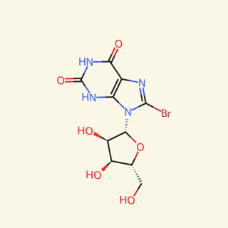 O=c1[nH]c(=O)c2nc(Br)n([C@@H]3O[C@H](CO)[C@@H](O)[C@H]3O)c2[nH]1